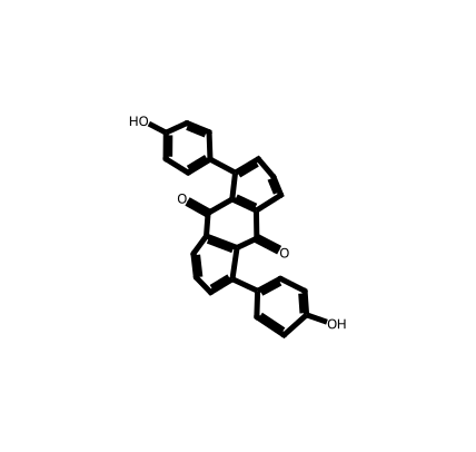 O=C1c2cccc(-c3ccc(O)cc3)c2C(=O)c2cccc(-c3ccc(O)cc3)c21